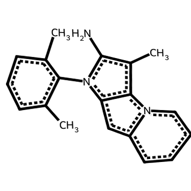 Cc1cccc(C)c1-n1c(N)c(C)c2c1cc1ccccn12